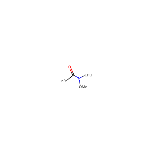 CCCC(=O)N(C=O)OC